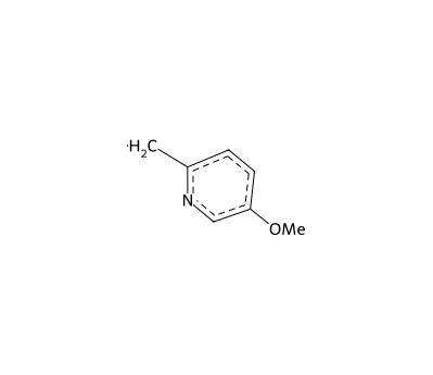 [CH2]c1ccc(OC)cn1